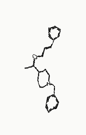 CC(OCC=Cc1ccccc1)C1CCN(Cc2ccccc2)CC1